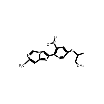 CC[S+]([O-])c1cc(OC(C)COC)cnc1-c1cn2cnc(C(F)(F)F)cc2n1